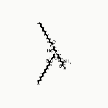 CCCCCCCCCCCC(=O)OCC(O)CN(CCCCC(N)C(=O)OC)CC(O)COC(=O)CCCCCCCCCCC